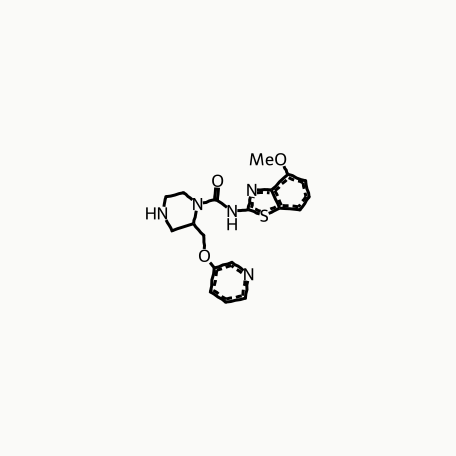 COc1cccc2sc(NC(=O)N3CCNCC3COc3cccnc3)nc12